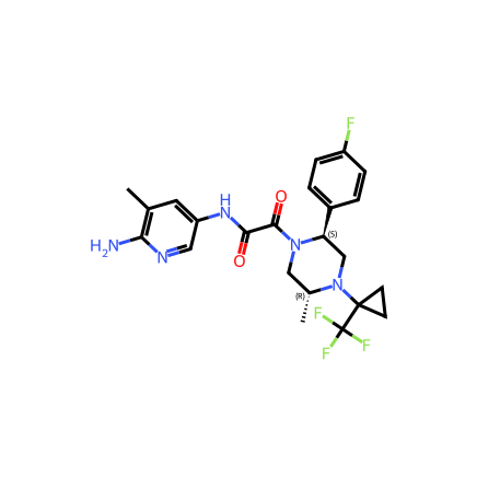 Cc1cc(NC(=O)C(=O)N2C[C@@H](C)N(C3(C(F)(F)F)CC3)C[C@@H]2c2ccc(F)cc2)cnc1N